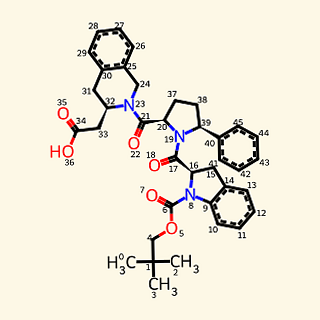 CC(C)(C)COC(=O)N1c2ccccc2C[C@@H]1C(=O)N1[C@@H](C(=O)N2Cc3ccccc3C[C@@H]2CC(=O)O)CC[C@H]1c1ccccc1